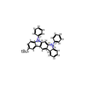 CC(C)(C)c1ccc2c(c1)c1cc3c4ccccc4n(-c4ccccc4)c3cc1n2-c1ccccc1